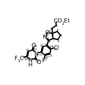 CCOC(=O)CCC12CCCC1C(c1cc(-n3c(=O)cc(C(F)(F)F)[nH]c3=O)c(F)cc1Cl)=NO2